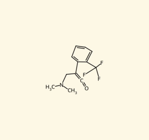 CN(C)CC(=C=O)c1ccccc1C(F)(F)F